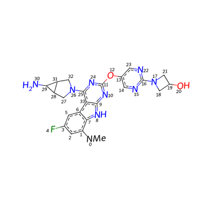 CNc1cc(F)cc2c1[nH]c1nc(Oc3cnc(N4CC(O)C4)nc3)nc(N3CC4C(N)C4C3)c12